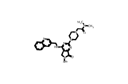 CCCN1Cc2c(NCc3cnc4ccccc4c3)nc(N3CCN(CC(=O)N(C)C)CC3)nc2C1=O